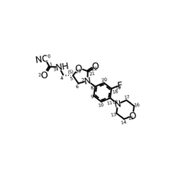 N#CC(=O)NC[C@H]1CN(c2ccc(N3CCOCC3)c(F)c2)C(=O)O1